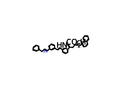 O=C(O)c1[nH]c2c(C=Cc3cccc(/C=C/Cc4ccccc4)c3)cccc2c1CCCOc1cccc2ccccc12